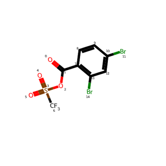 O=C(OS(=O)(=O)C(F)(F)F)c1ccc(Br)cc1Br